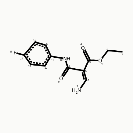 CCOC(=O)/C(=C/N)C(=O)Nc1ccc(F)cc1